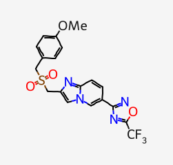 COc1ccc(CS(=O)(=O)Cc2cn3cc(-c4noc(C(F)(F)F)n4)ccc3n2)cc1